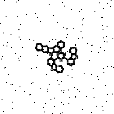 c1ccc(-c2nc(-c3cccc4oc5ccccc5c34)nc(-c3c(-n4c5ccccc5c5cc6ccccc6cc54)ccc4oc5ccccc5c34)n2)cc1